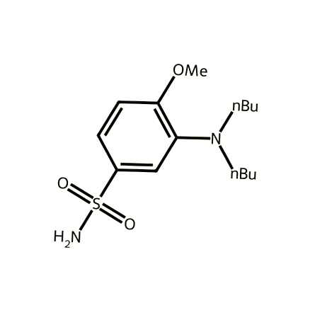 CCCCN(CCCC)c1cc(S(N)(=O)=O)ccc1OC